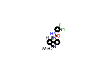 COc1nc2c(c3ccccc13)C(N(C)C(=O)Nc1ccc(F)c(Cl)c1)CCC2